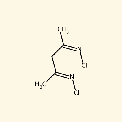 CC(CC(C)=NCl)=NCl